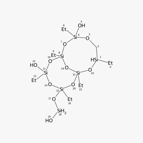 CC[SiH]1CO[Si](O)(CC)O[Si]2(CC)O[Si](O)(CC)O[Si](CC)(O[SiH2]O)O[Si](CC)(O1)O2